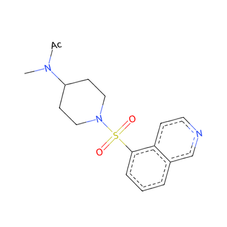 CC(=O)N(C)C1CCN(S(=O)(=O)c2cccc3cnccc23)CC1